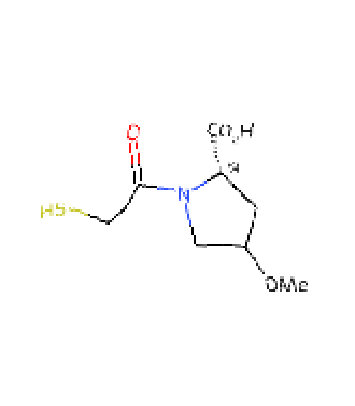 COC1C[C@@H](C(=O)O)N(C(=O)CS)C1